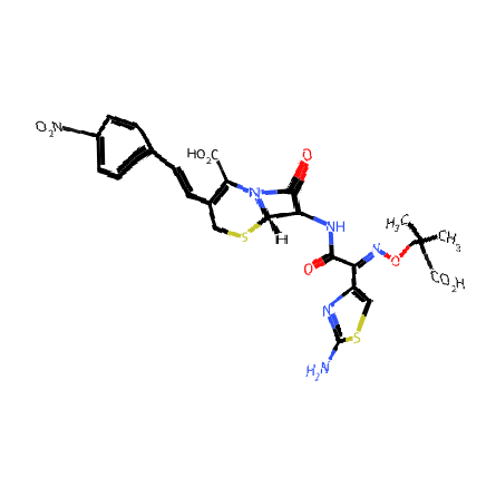 CC(C)(ON=C(C(=O)NC1C(=O)N2C(C(=O)O)=C(C=Cc3ccc([N+](=O)[O-])cc3)CS[C@@H]12)c1csc(N)n1)C(=O)O